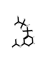 CC(C)OC1C=C(C(C)(C)OC(C)(C)C(C)C)CCC1